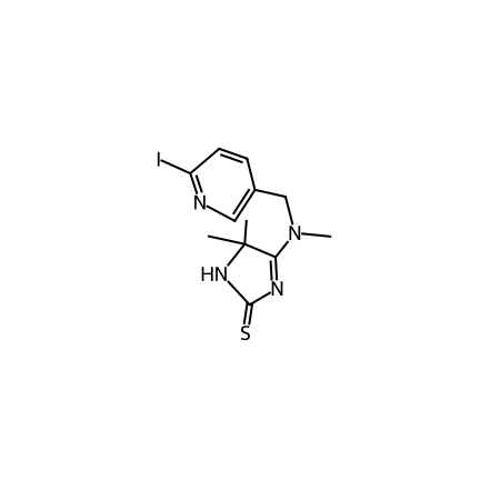 CN(Cc1ccc(I)nc1)C1=NC(=S)NC1(C)C